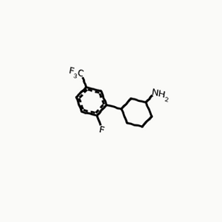 NC1CCCC(c2cc(C(F)(F)F)ccc2F)C1